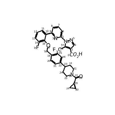 O=C(O)c1cnn(-c2cccc(-c3cccc(F)c3OCc3ccc(C4CCN(C(=O)C5CC5)CC4)cc3)n2)c1C(F)(F)F